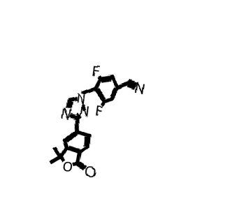 CC1(C)OC(=O)c2ccc(-c3ncn(Cc4c(F)cc(C#N)cc4F)n3)cc21